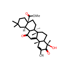 COC(=O)[C@]12CCC(C)(C)C[C@@H]1C1C(=O)C=C3[C@@]4(C)C=C(C#N)C(=O)[C@@](C)(O)C4CC[C@@]3(C)[C@]1(C)CC2